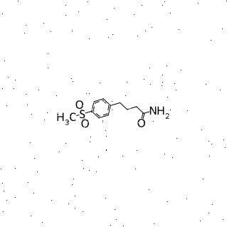 CS(=O)(=O)c1ccc(CCCC(N)=O)cc1